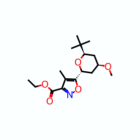 CCOC(=O)c1noc([C@H]2C[C@H](OC)C[C@H](C(C)(C)C)O2)c1C